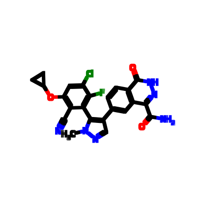 Cn1ncc(-c2ccc3c(=O)[nH]nc(C(N)=O)c3c2)c1-c1c(F)c(Cl)cc(OC2CC2)c1C#N